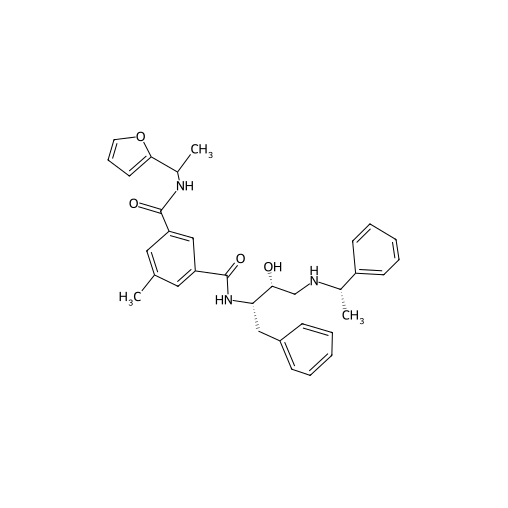 Cc1cc(C(=O)NC(C)c2ccco2)cc(C(=O)N[C@@H](Cc2ccccc2)[C@H](O)CN[C@@H](C)c2ccccc2)c1